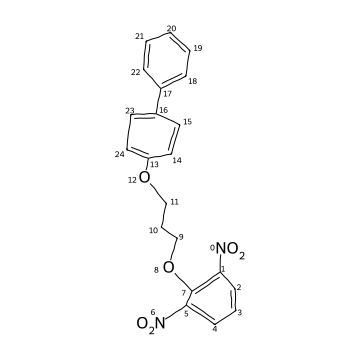 O=[N+]([O-])c1cccc([N+](=O)[O-])c1OCCCOc1ccc(-c2ccccc2)cc1